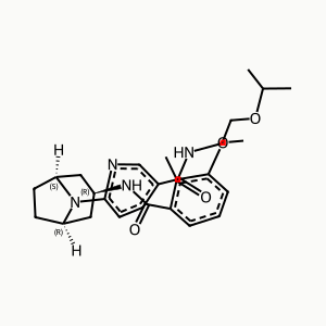 COc1cccc(C(=O)N[C@H]2C[C@H]3CC[C@@H](C2)N3c2ccc(C(=O)NCCOC(C)C)cn2)c1C